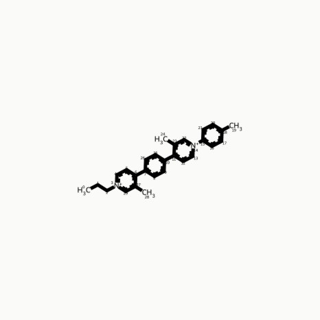 CCC[n+]1ccc(-c2ccc(-c3cc[n+](-c4ccc(C)cc4)cc3C)cc2)c(C)c1